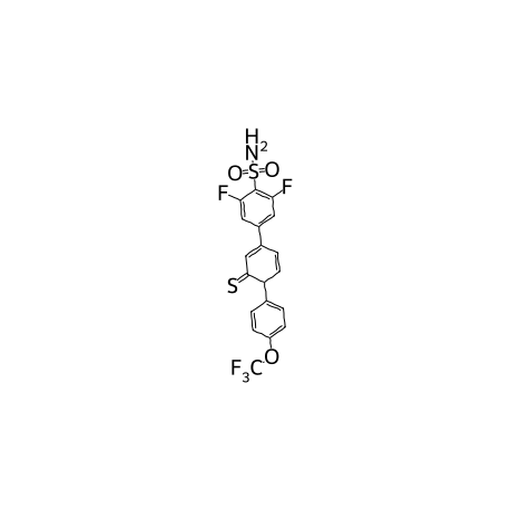 NS(=O)(=O)c1c(F)cc(C2=CC(=S)C(c3ccc(OC(F)(F)F)cc3)C=C2)cc1F